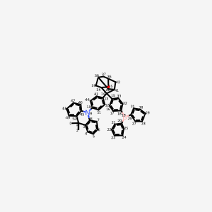 CC1(C)c2ccccc2N(c2ccc(C3(c4ccc(B(c5ccccc5)c5ccccc5)cc4)C4CC5CC(C4)CC3C5)cc2)c2ccccc21